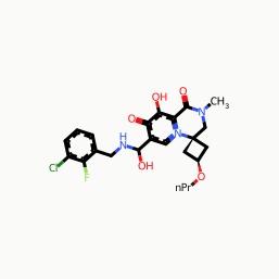 CCCO[C@H]1C[C@@]2(CN(C)C(=O)c3c(O)c(=O)c(C(O)NCc4cccc(Cl)c4F)cn32)C1